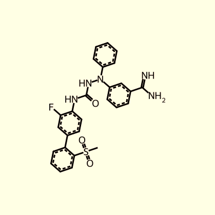 CS(=O)(=O)c1ccccc1-c1ccc(NC(=O)NN(c2ccccc2)c2cccc(C(=N)N)c2)c(F)c1